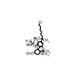 CC(C)(CCCCCCCl)c1cc2c(c(O[Si](C)(C)C(C)(C)C)c1)[C@@H]1CC(C=O)CC[C@H]1C(C)(C)O2